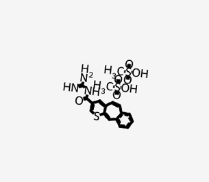 CS(=O)(=O)O.CS(=O)(=O)O.N=C(N)NC(=O)C1=CSC2=Cc3ccccc3C=CC2=C1